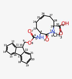 CN1C(=O)[C@@H](NC(=O)OCC2c3ccccc3-c3ccccc32)CCC=CCC[C@H]1C(=O)O